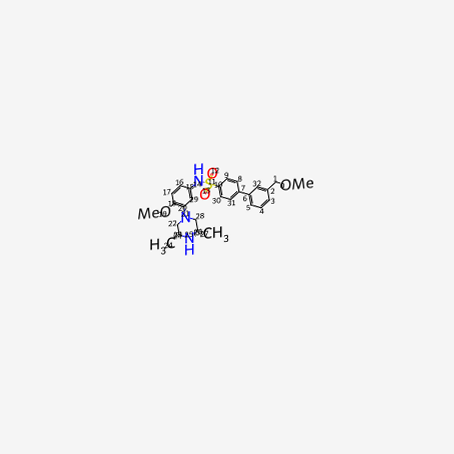 COCc1cccc(-c2ccc(S(=O)(=O)Nc3ccc(OC)c(N4C[C@@H](C)N[C@@H](C)C4)c3)cc2)c1